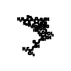 CC(C)CCNC(=O)CCNC(=O)[C@H](O)C(C)(C)COP(=O)(O)OP(=O)(O)O[C@H]1O[C@@H](n2cnc3c(N)ncnc32)[C@H](C)[C@@H]1OP(=O)(O)O